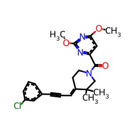 COc1cc(C(=O)N2CC/C(=C\C#Cc3cccc(Cl)c3)C(C)(C)C2)nc(OC)n1